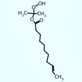 C/C=C/CCCCCCCC(=O)OC(C)(C)OO